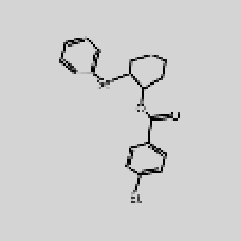 CCc1ccc(C(=O)OC2CCCCC2[Se]c2ccccc2)cc1